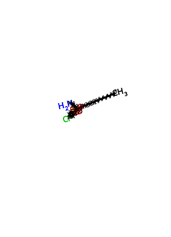 CCCCCCCCCCCCCCCCCCOC(=O)/C(=C/C=C/N)S(=O)(=O)c1ccc(Cl)cc1